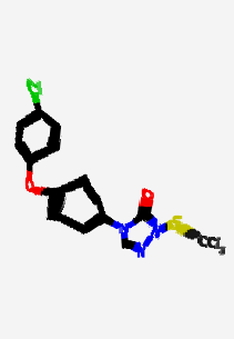 O=c1n(-c2ccc(Oc3ccc(Cl)cc3)cc2)cnn1SC(Cl)(Cl)Cl